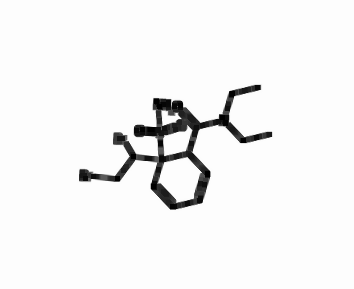 CCN(CC)C(=O)C1C=CC=CC1(C(Br)CBr)S(N)(=O)=O